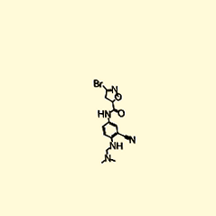 CN(C)CNc1ccc(NC(=O)C2CC(Br)=NO2)cc1C#N